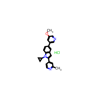 COc1cncc(-c2ccc3c(c2)cc(-c2ccnc(C)c2)n3C2CC2)c1.Cl